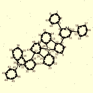 c1ccc(-c2cc(-c3cccc4c3-c3ccccc3[Si]43c4ccccc4-c4c(-c5cccc6c5c5ccccc5n6-c5ccccc5)cccc43)cc(-c3ccccc3)n2)cc1